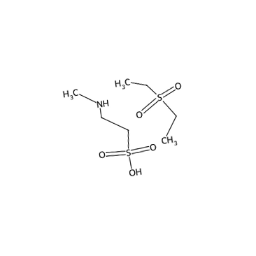 CCS(=O)(=O)CC.CNCCS(=O)(=O)O